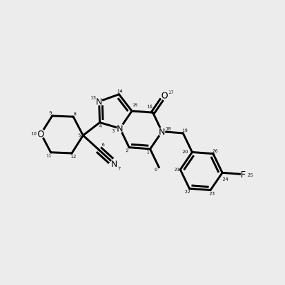 Cc1cn2c(C3(C#N)CCOCC3)ncc2c(=O)n1Cc1cccc(F)c1